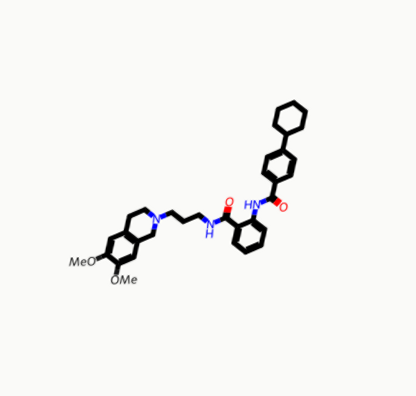 COc1cc2c(cc1OC)CN(CCCNC(=O)c1ccccc1NC(=O)c1ccc(C3CCCCC3)cc1)CC2